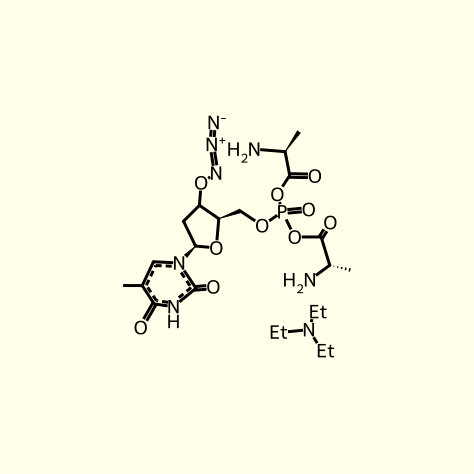 CCN(CC)CC.Cc1cn([C@H]2CC(ON=[N+]=[N-])[C@@H](COP(=O)(OC(=O)[C@H](C)N)OC(=O)[C@H](C)N)O2)c(=O)[nH]c1=O